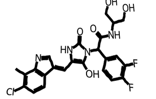 Cc1c(Cl)ccc2c1N=CC2=Cc1[nH]c(=O)n(C(C(=O)NC(CO)CO)c2ccc(F)c(F)c2)c1O